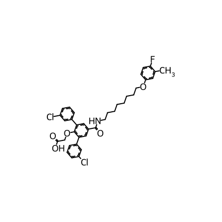 Cc1cc(OCCCCCCCCNC(=O)c2cc(-c3cccc(Cl)c3)c(OCC(=O)O)c(-c3cccc(Cl)c3)c2)ccc1F